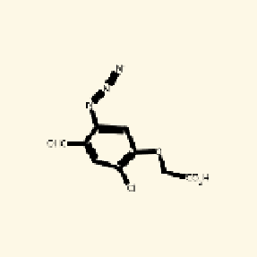 [N-]=[N+]=Nc1cc(OCC(=O)O)c(Cl)cc1C=O